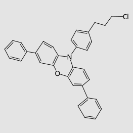 ClCCCc1ccc(N2c3ccc(-c4ccccc4)cc3Oc3cc(-c4ccccc4)ccc32)cc1